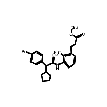 CC(C)(C)OC(=O)CCc1cccc(NC(=O)C(c2ccc(Br)cc2)C2CCCC2)c1C(F)(F)F